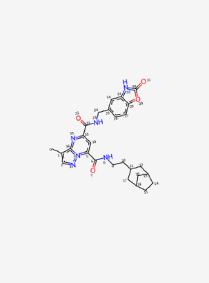 Cc1cnn2c(C(=O)NCCC3CC4CCC(C3)C4)cc(C(=O)NCc3ccc4oc(=O)[nH]c4c3)nc12